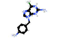 Nc1ccc(Cn2cnc3c(Cl)nc(N)nc32)cc1